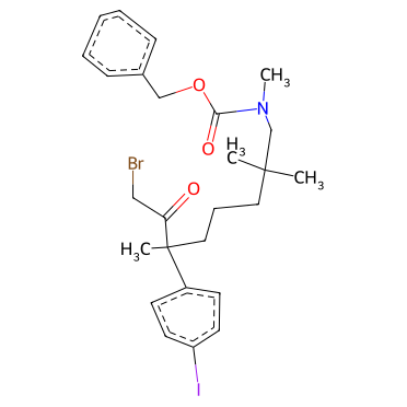 CN(CC(C)(C)CCCC(C)(C(=O)CBr)c1ccc(I)cc1)C(=O)OCc1ccccc1